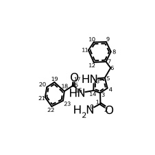 NC(=O)c1cc(Cc2ccccc2)[nH]c1NC(=O)c1ccccc1